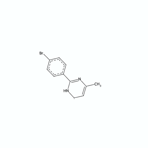 CC1=C[CH]NC(c2ccc(Br)cc2)=N1